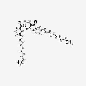 CCCCCCCCCCN1CCCC(C(=O)N2CCN(C(=O)C3CCCN(CCCCCCCCCC)C3)CC2)C1